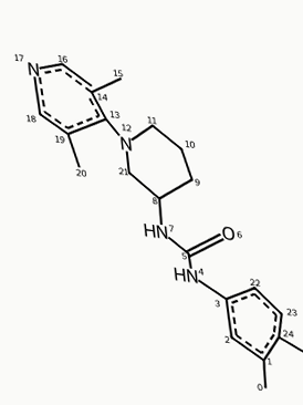 Cc1cc(NC(=O)NC2CCCN(c3c(C)cncc3C)C2)ccc1F